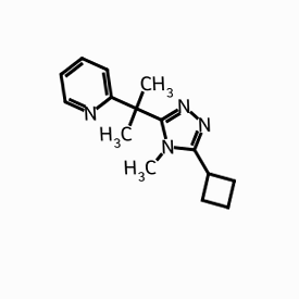 Cn1c(C2CCC2)nnc1C(C)(C)c1ccccn1